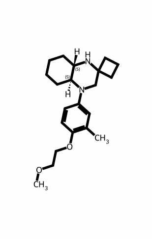 COCCOc1ccc(N2CC3(CCC3)N[C@H]3CCCC[C@@H]32)cc1C